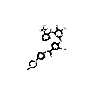 COc1cc(C(=O)Nc2ccc(N3CCN(C)CC3)cc2)ccc1Nc1nc(N)c(Cl)c(Nc2ccccc2S(=O)(=O)C(C)C)n1